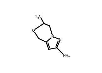 CC1Cn2nc(N)cc2CO1